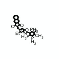 CCn1c(C=C2C(=O)c3cc4ccccc4cc3C2=O)cc2oc(-c3c(P)c(P)c(C)c(I)c3P)nc21